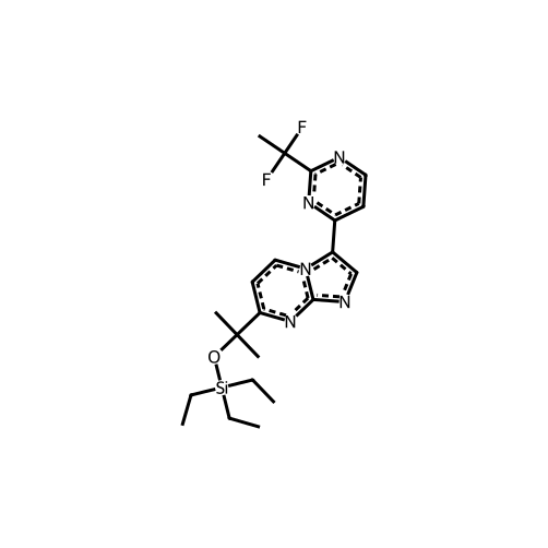 CC[Si](CC)(CC)OC(C)(C)c1ccn2c(-c3ccnc(C(C)(F)F)n3)cnc2n1